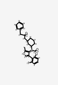 Cc1onc(-c2c(F)cccc2Cl)c1N(C=O)C1CCCC(CC(=O)Cc2ccccc2)C1